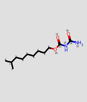 CC(C)CCCCCCCOC(=O)NC(N)=O